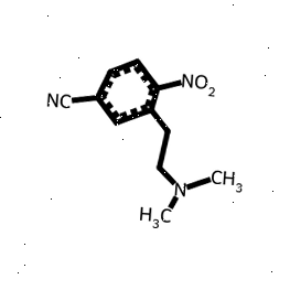 CN(C)CCc1cc(C#N)ccc1[N+](=O)[O-]